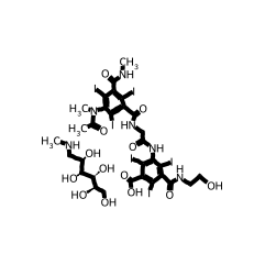 CNC(=O)c1c(I)c(C(=O)NCC(=O)Nc2c(I)c(C(=O)O)c(I)c(C(=O)NCCO)c2I)c(I)c(N(C)C(C)=O)c1I.CNC[C@H](O)[C@@H](O)[C@H](O)[C@H](O)CO